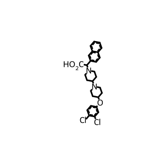 O=C(O)C(c1ccc2ccccc2c1)N1CCC(N2CCC(Oc3ccc(Cl)c(Cl)c3)CC2)CC1